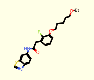 CCOCCCCCOc1cccc(CC(=O)Nc2ccc3ncsc3c2)c1F